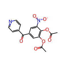 CC(=O)Oc1cc(C(=O)c2ccncc2)cc([N+](=O)[O-])c1OC(C)=O